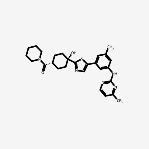 Cc1cc(Nc2nccc(C(F)(F)F)n2)cc(-c2cnc([C@]3(O)CC[C@H](C(=O)N4CCCCC4)CC3)s2)c1